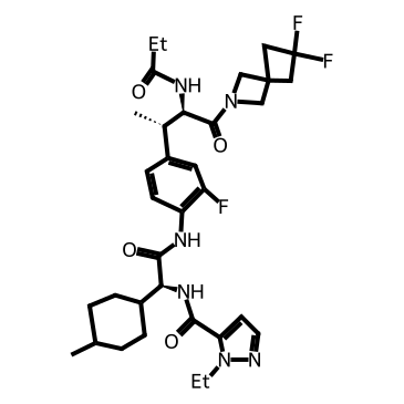 CCC(=O)N[C@@H](C(=O)N1CC2(C1)CC(F)(F)C2)[C@@H](C)c1ccc(NC(=O)[C@@H](NC(=O)c2ccnn2CC)C2CCC(C)CC2)c(F)c1